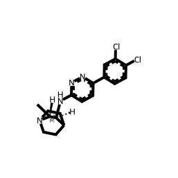 C[C@@H]1[C@@H](Nc2ccc(-c3ccc(Cl)c(Cl)c3)nn2)C2CCN1CC2